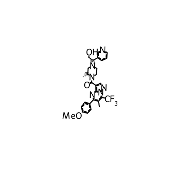 COc1ccc(-c2nc3c(C(=O)N4CCN([C@@H](CO)c5cccnc5)C[C@H]4C)cnn3c(C(F)(F)F)c2C)cc1